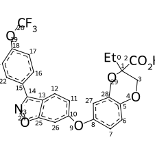 CCC1(C(=O)O)COc2ccc(Oc3ccc4c(-c5ccc(OC(F)(F)F)cc5)noc4c3)cc2O1